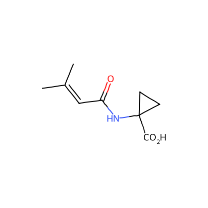 CC(C)=CC(=O)NC1(C(=O)O)CC1